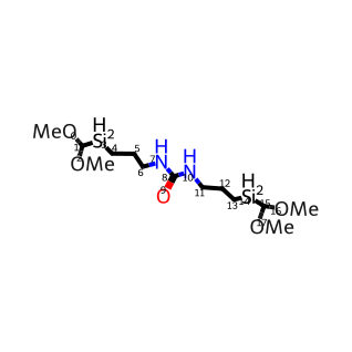 COC(OC)[SiH2]CCCNC(=O)NCCC[SiH2]C(OC)OC